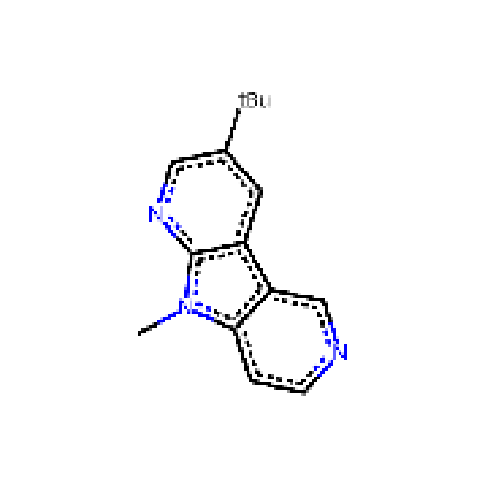 Cn1c2ccncc2c2cc(C(C)(C)C)cnc21